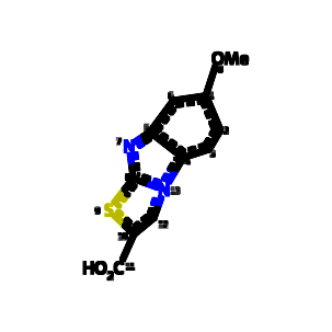 COc1ccc2c(c1)nc1sc(C(=O)O)cn12